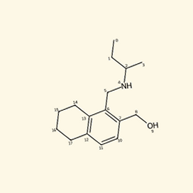 CCC(C)NCc1c(CO)ccc2c1CCCC2